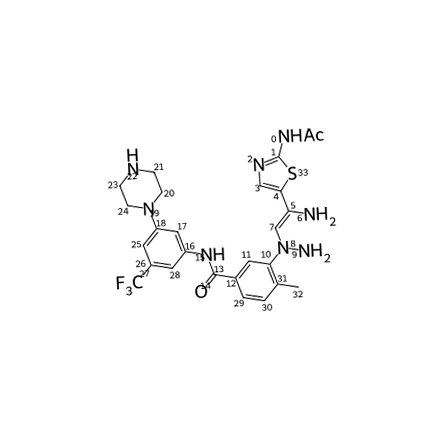 CC(=O)Nc1ncc(/C(N)=C/N(N)c2cc(C(=O)Nc3cc(N4CCNCC4)cc(C(F)(F)F)c3)ccc2C)s1